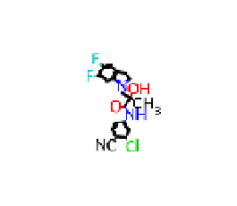 CC(O)(CN1CCc2cc(F)c(F)cc21)C(=O)Nc1ccc(C#N)c(Cl)c1